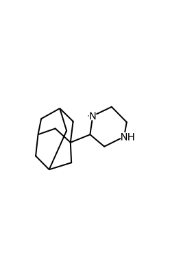 C1CNCC(C23CC4CC(CC(C4)C2)C3)[N]1